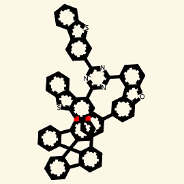 c1cc(-c2ccc3oc4cccc(-c5nc(-c6ccc7c(c6)sc6ccccc67)nc(-c6cccc7sc8ccccc8c67)n5)c4c3c2)cc(-c2cccc3c2C2(c4ccccc4-c4ccccc42)c2ccccc2-3)c1